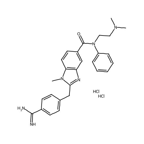 CN(C)CCN(C(=O)c1ccc2c(c1)nc(Cc1ccc(C(=N)N)cc1)n2C)c1ccccc1.Cl.Cl